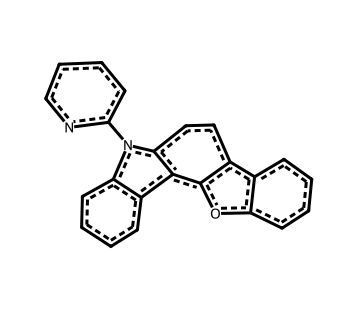 c1ccc(-n2c3ccccc3c3c4oc5ccccc5c4ccc32)nc1